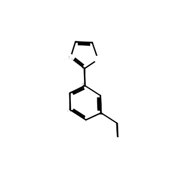 OCc1c[c]cc(-c2ncco2)c1